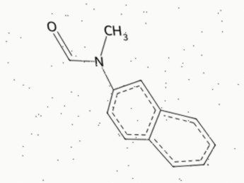 CN(C=O)c1ccc2c[c]ccc2c1